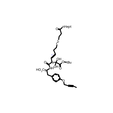 CC#CCOc1ccc(C[C@H](NC(=O)[C@@H](/C=C/CCCCCCC(=O)CCCCCCC)C(O)(O)C(=O)OC(C)(C)C)C(=O)O)cc1